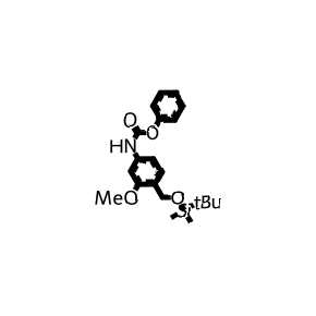 COc1cc(NC(=O)Oc2ccccc2)ccc1CO[Si](C)(C)C(C)(C)C